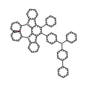 c1ccc(-c2ccc(N(c3ccccc3)c3ccc(-c4c(-c5ccccc5)c5c6ccccc6n(-c6ccccc6)c5c5c4c4ccccc4n5-c4ccccc4)cc3)cc2)cc1